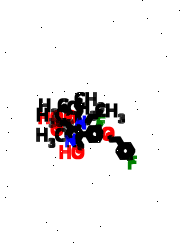 CCCCN(CCCC)c1c(-c2ccc(OCCc3ccc(F)cc3)c(F)c2)c(CO)nc(C)c1[C@H](OC(C)(C)C)C(=O)O